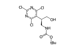 CC(C)(C)OC(=O)NC[C@H](CO)c1c(Cl)nc(Cl)nc1Cl